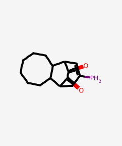 O=C1C(=O)C2CC(P)=CC1C1CCCCCCC21